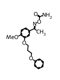 COc1ccc(C(C)=NOC(N)=O)cc1OCCCOc1ccccc1